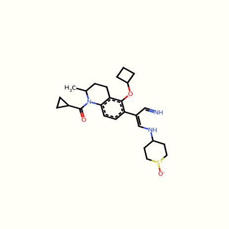 CC1CCc2c(ccc(/C(C=N)=C/NC3CC[S+]([O-])CC3)c2OC2CCC2)N1C(=O)C1CC1